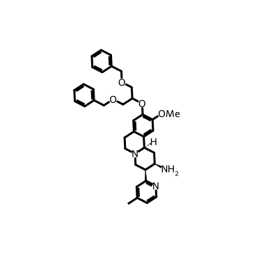 COc1cc2c(cc1OC(COCc1ccccc1)COCc1ccccc1)CCN1C[C@H](c3cc(C)ccn3)[C@H](N)C[C@H]21